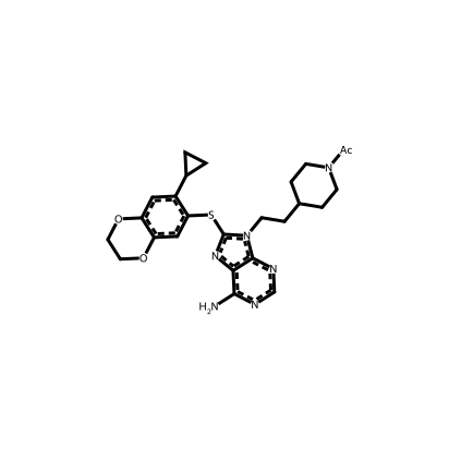 CC(=O)N1CCC(CCn2c(Sc3cc4c(cc3C3CC3)OCCO4)nc3c(N)ncnc32)CC1